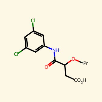 CC(C)OC(CC(=O)O)C(=O)Nc1cc(Cl)cc(Cl)c1